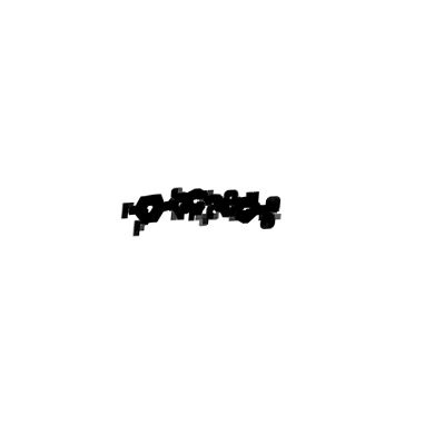 CC1(CN2Cc3nc(-c4ccc(F)c(F)c4)sc3C2)Cn2cc([N+](=O)[O-])nc2O1